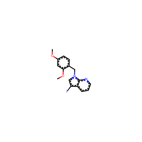 COc1ccc(Cn2cc(I)c3cccnc32)c(OC)c1